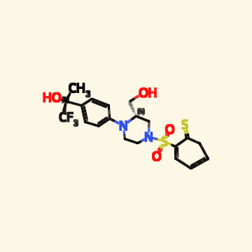 C[C@@](O)(c1ccc(N2CCN(S(=O)(=O)C3=CC=CCC3=S)C[C@H]2CO)cc1)C(F)(F)F